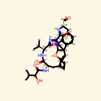 CC(C)C(O)C(=O)N[C@H]1Cc2ccc3c(c2)C2(c4ccccc4NC2O3)c2oc(nc2C2=N[C@H](C=O)CO2)[C@H](C(C)C)NC1=O